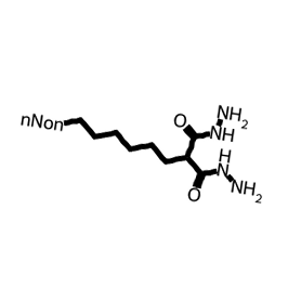 CCCCCCCCCCCCCCCC(C(=O)NN)C(=O)NN